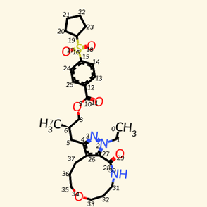 CCn1nc(C[C@@H](C)COC(=O)c2ccc(S(=O)(=O)C3CCCC3)cc2)c2c1C(=O)NCCCOCCC2